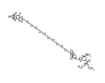 CCCN(OCC)C(=O)C1=Cc2sc(CN3CC[C@@H]4[C@H](C3)CN4C(=O)CCOCCOCCOCCOCCOCCOCCOCCOCCOCCOCCC(=O)Oc3c(F)c(F)c(S(=O)(=O)O)c(F)c3F)cc2N=C(N)C1